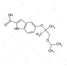 CC(C)OCC(C)(C)Oc1ccc2[nH]c(C(=O)O)cc2c1